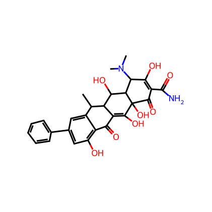 CC1c2cc(-c3ccccc3)cc(O)c2C(=O)C2=C(O)C3(O)C(=O)C(C(N)=O)=C(O)C(N(C)C)C3C(O)C21